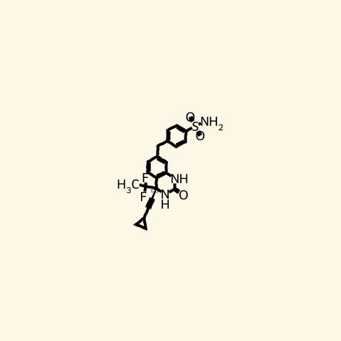 CC(F)(F)[C@@]1(C#CC2CC2)NC(=O)Nc2cc(Cc3ccc(S(N)(=O)=O)cc3)ccc21